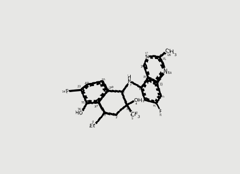 CCC1CC(O)(C(F)(F)F)C(Nc2cc(F)cc3nc(C)ncc23)c2ccc(F)c(O)c21